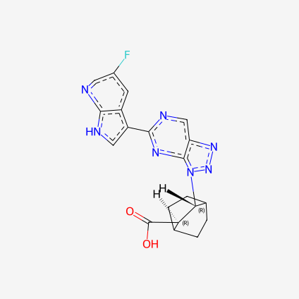 O=C(O)[C@@H]1C2CCC(CC2)[C@H]1n1nnc2cnc(-c3c[nH]c4ncc(F)cc34)nc21